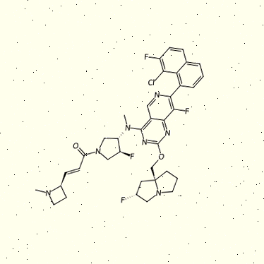 CN1CC[C@@H]1C=CC(=O)N1C[C@H](F)[C@@H](N(C)c2nc(OC[C@@]34CCCN3C[C@H](F)C4)nc3c(F)c(-c4cccc5ccc(F)c(Cl)c45)ncc23)C1